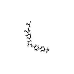 COC(=O)CCNC(=O)c1ccc(CCC(C)COc2ccc(-c3ccc(C(F)(F)F)cc3)cc2)cc1